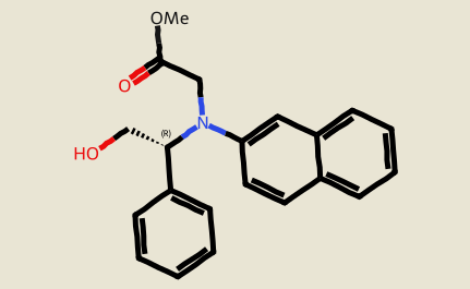 COC(=O)CN(c1ccc2ccccc2c1)[C@@H](CO)c1ccccc1